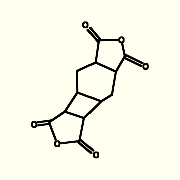 O=C1OC(=O)C2CC3C(CC12)C1C(=O)OC(=O)C31